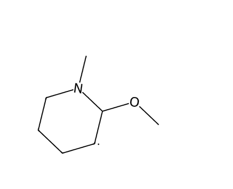 COC1[CH]CCCN1C